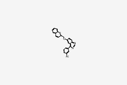 CC(=O)c1cccc(-c2ncnc3ccc(OCc4ccc5ccccc5n4)cc23)c1